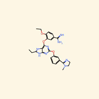 CCOc1ccc(C(=N)N)cc1Oc1nc(Oc2cccc(C3=NCCN3C)c2)nc2[nH]c(CC)nc12